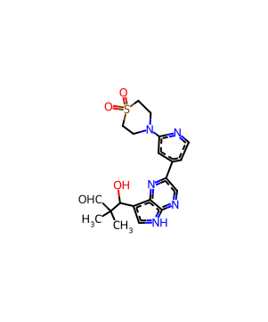 CC(C)(C=O)C(O)c1c[nH]c2ncc(-c3ccnc(N4CCS(=O)(=O)CC4)c3)nc12